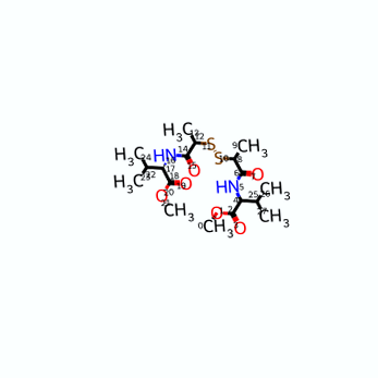 COC(=O)C(NC(=O)C(C)SSC(C)C(=O)N[C@H](C(=O)OC)C(C)C)C(C)C